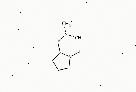 CN(C)CC1CCCN1I